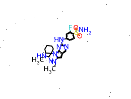 CCN1N=C(NC)C2(CCCCC2)n2c1cc1cnc(Nc3ccc(S(N)(=O)=O)c(F)c3)nc12